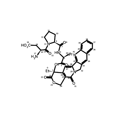 CC[C@@]1(OC(=O)[C@@H](NC(=O)[C@@H]2CCCN2C(=O)[C@@H](N)CC(=O)O)C(C)C)C(=O)OCc2c1cc1n(c2=O)Cc2cc3ccccc3nc2-1